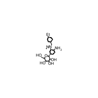 C=NN(Cc1ccc(CC)cc1)c1cc([C@@H]2O[C@H](CO)[C@@H](O)[C@H](O)[C@H]2O)ccc1N